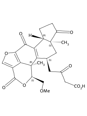 COC[C@H]1OC(=O)c2coc3c2[C@@]1(C)C1=C(C3=O)[C@@H]2CCC(=O)[C@@]2(C)C[C@H]1CC(=O)CC(=O)O